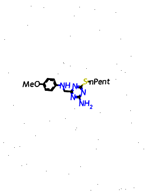 CCCCCSc1nc(N)nc(CNc2ccc(OC)cc2)n1